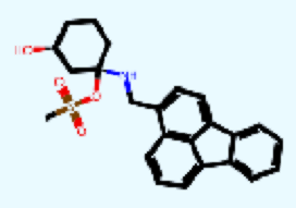 CS(=O)(=O)O[C@@]1(NCc2ccc3c4c(cccc24)-c2ccccc2-3)CCC[C@H](O)C1